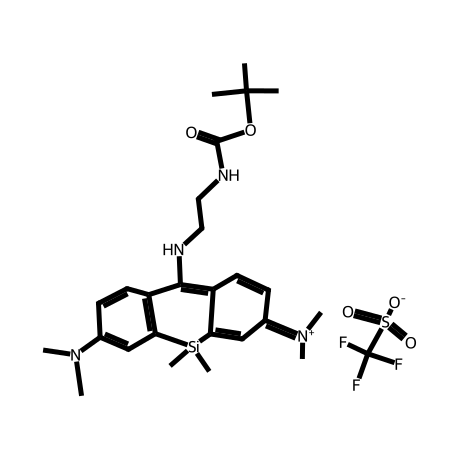 CN(C)c1ccc2c(c1)[Si](C)(C)C1=CC(=[N+](C)C)C=CC1=C2NCCNC(=O)OC(C)(C)C.O=S(=O)([O-])C(F)(F)F